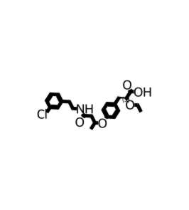 CCO[C@@H](Cc1ccc(OC(C)CC(=O)NCCc2cccc(Cl)c2)cc1)C(=O)O